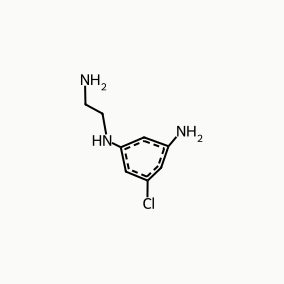 NCCNc1cc(N)cc(Cl)c1